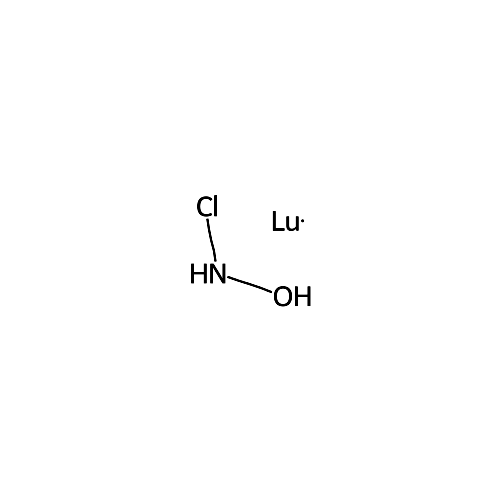 ONCl.[Lu]